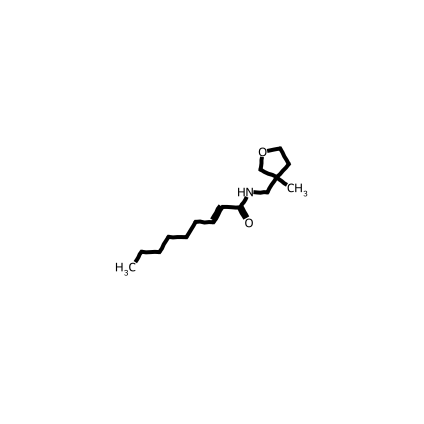 CCCCCC/C=C/C(=O)NCC1(C)CCOC1